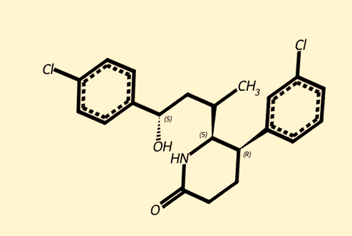 CC(C[C@H](O)c1ccc(Cl)cc1)[C@@H]1NC(=O)CC[C@@H]1c1cccc(Cl)c1